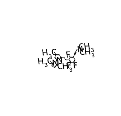 Cc1cc(CCc2c(F)c(F)cc(C#CCN(C)C)c2F)nc(-n2c(C)ccc2C)c1